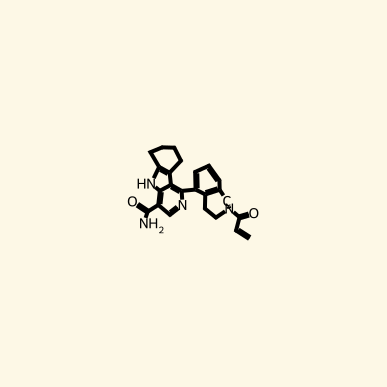 C=CC(=O)N1CCc2c(cccc2-c2ncc(C(N)=O)c3[nH]c4c(c23)CCCC4)C1